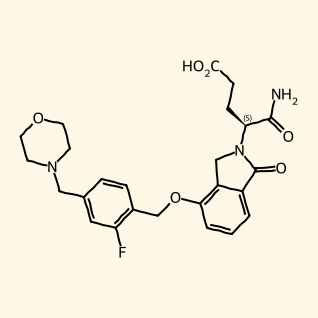 NC(=O)[C@H](CCC(=O)O)N1Cc2c(OCc3ccc(CN4CCOCC4)cc3F)cccc2C1=O